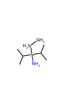 CC(C)[Si](N)([SiH2][SiH3])C(C)C